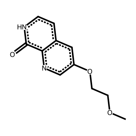 COCCOc1cnc2c(=O)[nH]ccc2c1